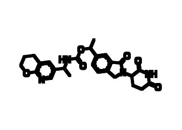 CC(NC(=O)OC(C)c1ccc2c(c1)C(=O)N(C1CCC(=O)NC1=O)C2)c1cnc2c(c1)CCCO2